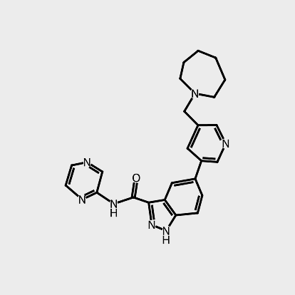 O=C(Nc1cnccn1)c1n[nH]c2ccc(-c3cncc(CN4CCCCCC4)c3)cc12